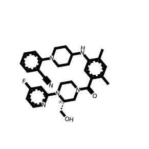 Cc1cc(C)c(C(=O)N2CCN(c3cc(F)ccn3)[C@@H](CO)C2)cc1NC1CCN(c2ccccc2C#N)CC1